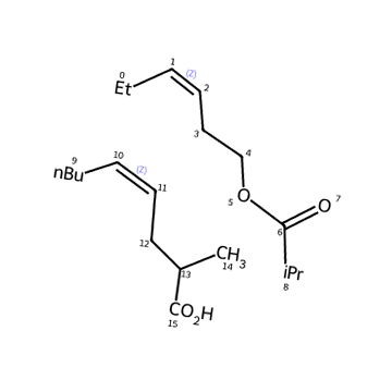 CC/C=C\CCOC(=O)C(C)C.CCCC/C=C\CC(C)C(=O)O